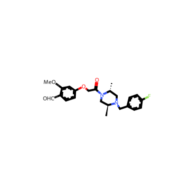 COc1cc(OCC(=O)N2C[C@H](C)N(Cc3ccc(F)cc3)C[C@H]2C)ccc1C=O